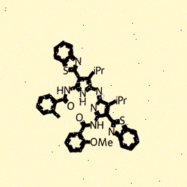 COc1ccccc1C(=O)NC1=N/C(=N\c2[nH]c(NC(=O)c3ccccc3C)c(-c3nc4ccccc4s3)c2C(C)C)C(C(C)C)=C1c1nc2ccccc2s1